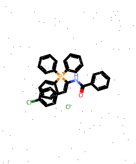 O=C(N/C(=C/c1ccc(Cl)cc1)[P+](c1ccccc1)(c1ccccc1)c1ccccc1)c1ccccc1.[Cl-]